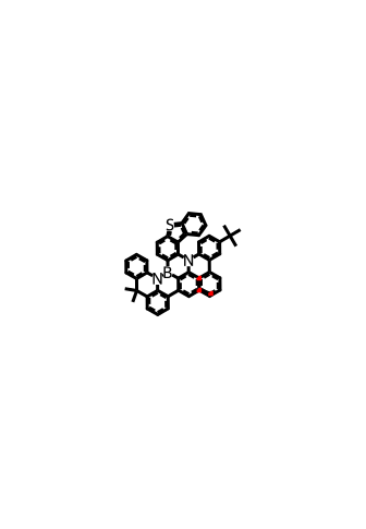 Cc1cc2c3c(c1)N(c1ccc(C(C)(C)C)cc1-c1ccccc1)c1c(ccc4sc5ccccc5c14)B3N1c3ccccc3C(C)(C)c3cccc-2c31